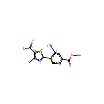 Cc1nc(-c2ccc(C(=O)OC(C)(C)C)cc2N)sc1C(=O)Cl